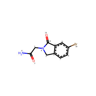 NC(=O)CN1Cc2ccc(Br)cc2C1=O